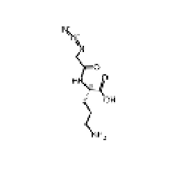 [N-]=[N+]=NCC(=O)N[C@@H](CCCN)C(=O)O